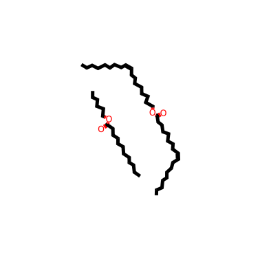 CCCCCCCC/C=C\CCCCCCCCOC(=O)CCCCCCC/C=C\CCCCCCCC.CCCCCCCCCCCC(=O)OCCCCCC